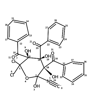 [C-]#[N+]C1(O)OC(Cl)(Cl)[C@](O)(C(=O)c2ccccc2)[C@](O)(C(=O)c2ccccc2)[C@]1(O)C(=O)c1ccccc1